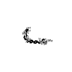 COC(=O)N[C@H](C(=O)N1CCC[C@H]1c1ncc(-c2ccc(-c3ccc(-c4cnc([C@@H]5CCCN5C(=O)[C@H](Cc5ccc(O)cc5)NC(=O)O)[nH]4)cc3)cc2)[nH]1)C(C)C